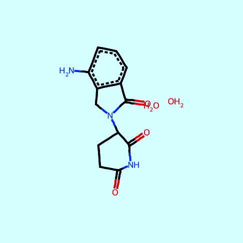 Nc1cccc2c1CN(C1CCC(=O)NC1=O)C2=O.O.O